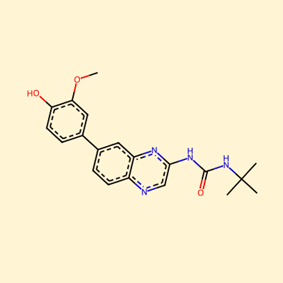 COc1cc(-c2ccc3ncc(NC(=O)NC(C)(C)C)nc3c2)ccc1O